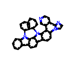 c1ccc(-n2c3ccccc3c3ccc4c5ccc6c(c7cnccc7c7nccn67)c5n(-c5ccccc5)c4c32)cc1